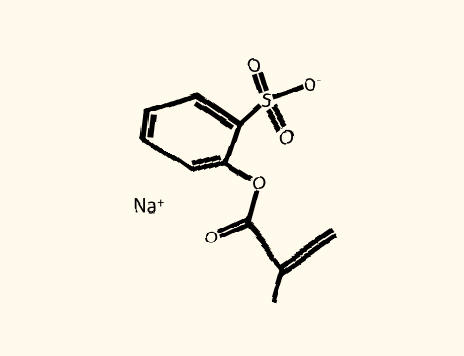 C=C(C)C(=O)Oc1ccccc1S(=O)(=O)[O-].[Na+]